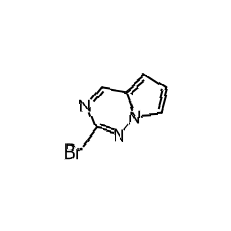 Brc1ncc2cccn2n1